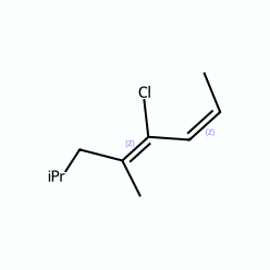 C/C=C\C(Cl)=C(/C)CC(C)C